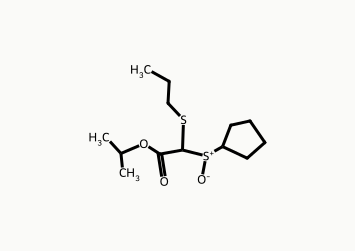 CCCSC(C(=O)OC(C)C)[S+]([O-])C1CCCC1